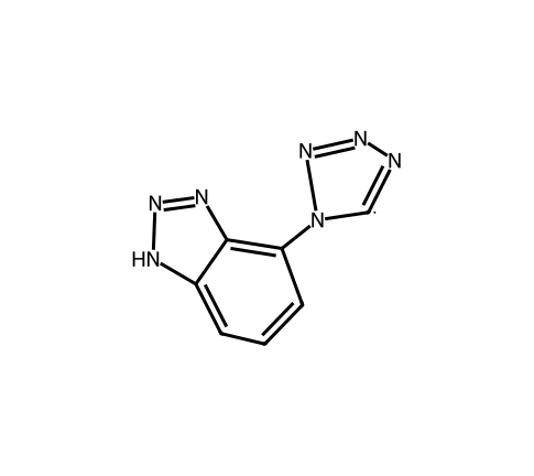 [c]1nnnn1-c1cccc2[nH]nnc12